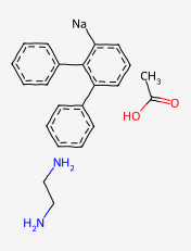 CC(=O)O.NCCN.[Na][c]1cccc(-c2ccccc2)c1-c1ccccc1